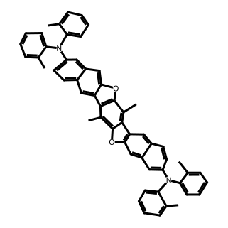 Cc1ccccc1N(c1ccc2cc3c(cc2c1)oc1c(C)c2c(oc4cc5cc(N(c6ccccc6C)c6ccccc6C)ccc5cc42)c(C)c13)c1ccccc1C